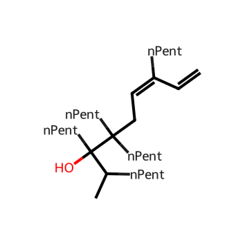 C=CC(=CCC(CCCCC)(CCCCC)C(O)(CCCCC)C(C)CCCCC)CCCCC